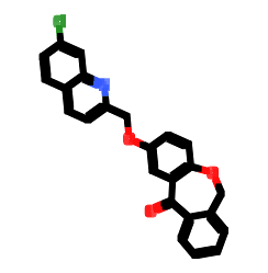 O=C1c2ccccc2COc2ccc(OCc3ccc4ccc(Cl)cc4n3)cc21